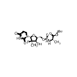 CCC(C)OC(=O)[C@H](C)N[PH](=O)OC[C@H]1O[C@@H](n2ccc(=O)[nH]c2=O)[C@](C)(F)[C@@H]1O